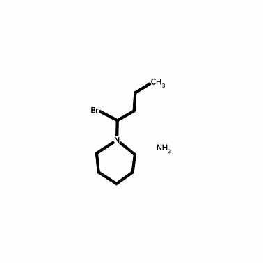 CCCC(Br)N1CCCCC1.N